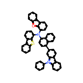 c1ccc(-n2c3ccccc3c3ccc(-c4ccc(N(c5cccc6c5oc5ccccc56)c5cccc6c5sc5ccccc56)c5ccccc45)cc32)cc1